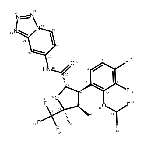 C[C@@H]1[C@H](c2ccc(F)c(F)c2OC(F)F)[C@@H](C(=O)Nc2ccn3nnnc3c2)O[C@]1(C)C(F)(F)F